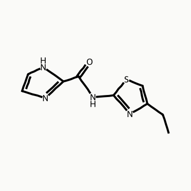 CCc1csc(NC(=O)c2ncc[nH]2)n1